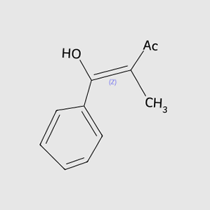 CC(=O)/C(C)=C(\O)c1ccccc1